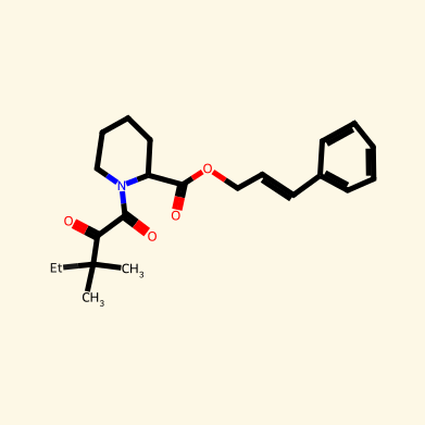 CCC(C)(C)C(=O)C(=O)N1CCCCC1C(=O)OCC=Cc1ccccc1